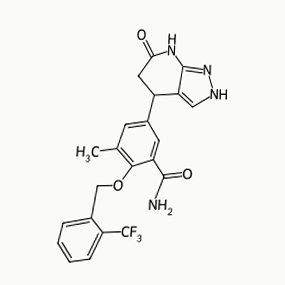 Cc1cc(C2CC(=O)Nc3n[nH]cc32)cc(C(N)=O)c1OCc1ccccc1C(F)(F)F